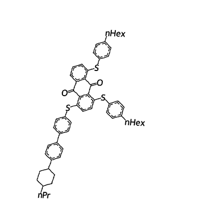 CCCCCCc1ccc(Sc2cccc3c2C(=O)c2c(Sc4ccc(CCCCCC)cc4)ccc(Sc4ccc(-c5ccc(C6CCC(CCC)CC6)cc5)cc4)c2C3=O)cc1